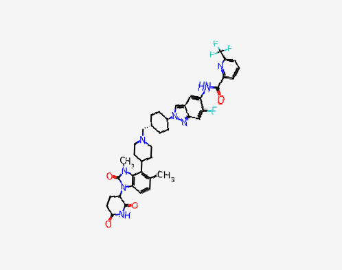 Cc1ccc2c(c1C1CCN(C[C@H]3CC[C@H](n4cc5cc(NC(=O)c6cccc(C(F)(F)F)n6)c(F)cc5n4)CC3)CC1)n(C)c(=O)n2C1CCC(=O)NC1=O